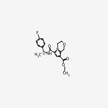 CCOC(=O)c1cc(C(=O)N[C@H](C)c2ccc(F)cc2)n2c1COCC2